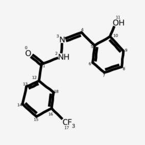 O=C(N/N=C\c1ccccc1O)c1cccc(C(F)(F)F)c1